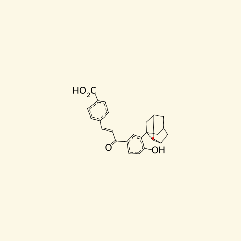 O=C(O)c1ccc(/C=C/C(=O)c2ccc(O)c(C34CC5CC(CC(C5)C3)C4)c2)cc1